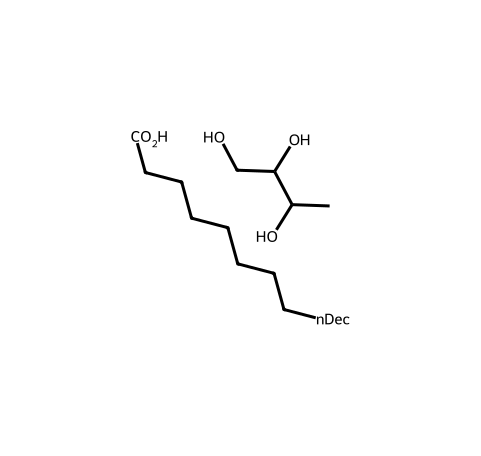 CC(O)C(O)CO.CCCCCCCCCCCCCCCCCC(=O)O